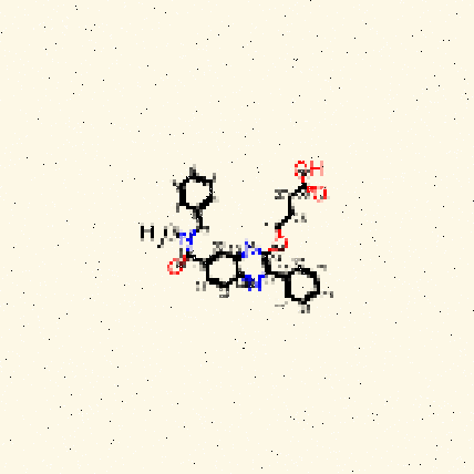 CN(Cc1ccccc1)C(=O)c1ccc2nc(-c3ccccc3)c(OCCCC(=O)O)nc2c1